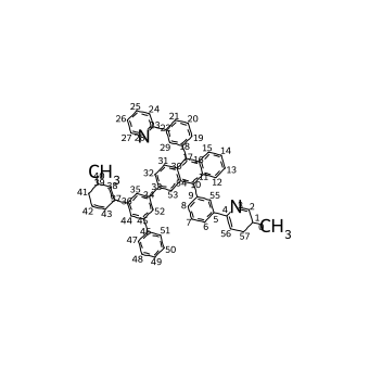 CC1C=NC(c2cccc(-c3c4ccccc4c(-c4cccc(-c5ccccn5)c4)c4ccc(-c5cc(C6=CC(C)CC=C6)cc(-c6ccccc6)c5)cc34)c2)=CC1